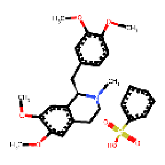 COc1ccc(C[C@@H]2c3cc(OC)c(OC)cc3CCN2C)cc1OC.O=S(=O)(O)c1ccccc1